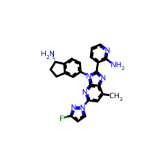 Cc1cc(-n2ccc(F)n2)nc2c1nc(-c1cccnc1N)n2-c1ccc2c(c1)CC[C@@H]2N